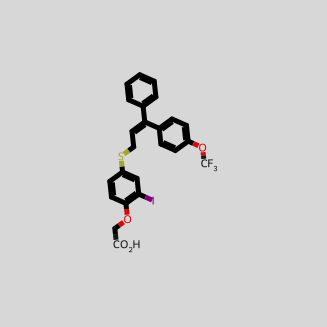 O=C(O)COc1ccc(SC/C=C(/c2ccccc2)c2ccc(OC(F)(F)F)cc2)cc1I